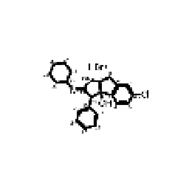 Br.OC12c3ccc(Cl)cc3CC1SC(=NC1CCCCC1)C2c1ccccc1